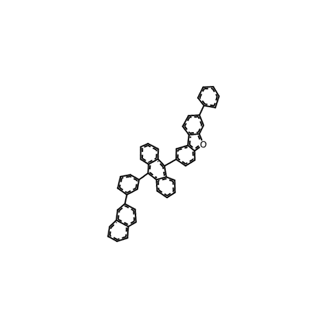 c1ccc(-c2ccc3c(c2)oc2ccc(-c4c5ccccc5c(-c5cccc(-c6ccc7ccccc7c6)c5)c5ccccc45)cc23)cc1